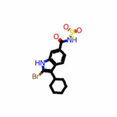 O=C(N[SH](=O)=O)c1ccc2c(C3CCCCC3)c(Br)[nH]c2c1